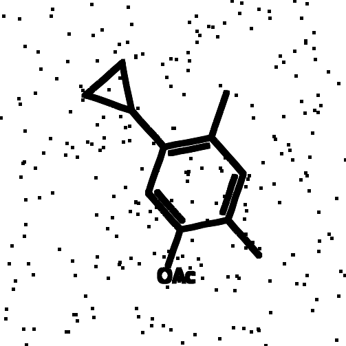 CC(=O)Oc1cc(C2CC2)c(C)cc1C